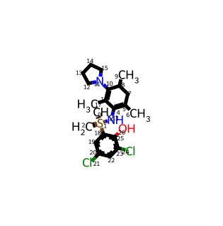 C=S(=C)(NC1=C(C)CC(C)C(N2CCCC2)=C1C)c1cc(Cl)cc(Cl)c1O